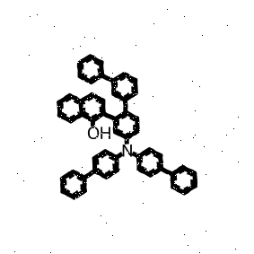 Oc1c(-c2cc(N(c3ccc(-c4ccccc4)cc3)c3ccc(-c4ccccc4)cc3)ccc2-c2cccc(-c3ccccc3)c2)ccc2ccccc12